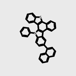 c1ccc(-n2c3ccc(-c4cccc5ccccc45)cc3c3c4ccccc4c4sc5ccccc5c4c32)cc1